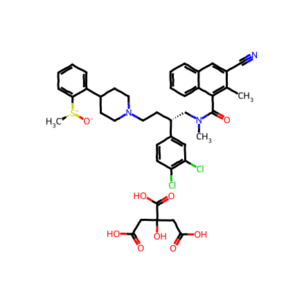 Cc1c(C#N)cc2ccccc2c1C(=O)N(C)C[C@@H](CCN1CCC(c2ccccc2[S@+](C)[O-])CC1)c1ccc(Cl)c(Cl)c1.O=C(O)CC(O)(CC(=O)O)C(=O)O